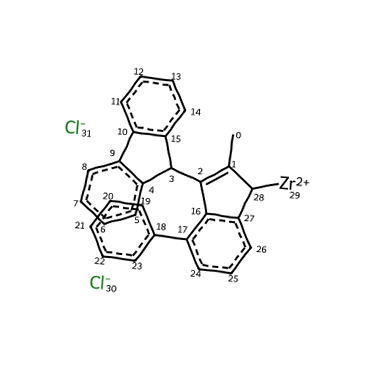 CC1=C(C2c3ccccc3-c3ccccc32)c2c(-c3ccccc3)cccc2[CH]1[Zr+2].[Cl-].[Cl-]